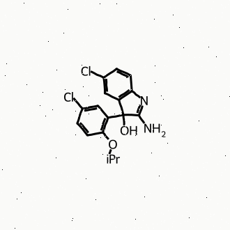 CC(C)Oc1ccc(Cl)cc1C1(O)C(N)=Nc2ccc(Cl)cc21